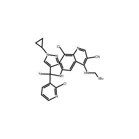 [2H]C(Nc1cc(Cl)c2ncc(C#N)c(NCC(C)(C)C)c2c1)(c1cn(C2CC2)nn1)c1cccnc1Cl